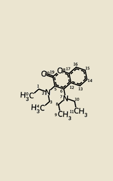 CCN(CC)c1c(N(CC)CC)c2ccccc2oc1=O